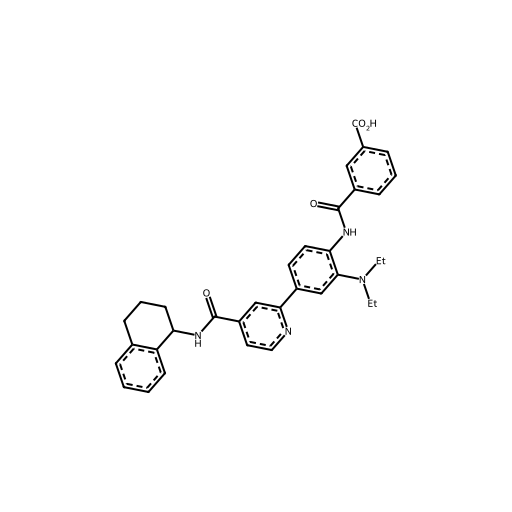 CCN(CC)c1cc(-c2cc(C(=O)NC3CCCc4ccccc43)ccn2)ccc1NC(=O)c1cccc(C(=O)O)c1